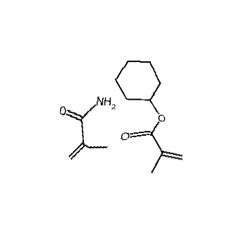 C=C(C)C(=O)OC1CCCCC1.C=C(C)C(N)=O